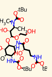 CO[C@H]1[C@H](O)[C@@H](O[C@@H](OCCO)[C@H](O)[C@H](C)N(C)C(=O)OC(C)(C)C)[C@H](NC(=O)[C@@H](O)CCNC(=O)OC(C)(C)C)C[C@@H]1NC(=O)OC(C)(C)C